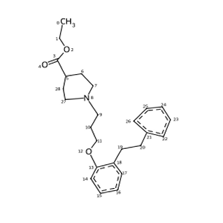 CCOC(=O)C1CCN(CCCOc2ccccc2CCc2ccccc2)CC1